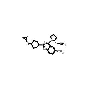 Cc1ccc2nc(C3CCC(=NC4CC4)CC3)nc(N3CCC[C@@H]3CN)c2c1